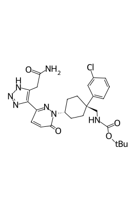 CC(C)(C)OC(=O)NC[C@]1(c2cccc(Cl)c2)CC[C@@H](n2nc(-c3nn[nH]c3CC(N)=O)ccc2=O)CC1